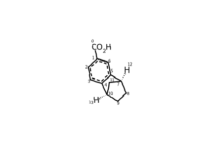 O=C(O)c1ccc2c(c1)[C@H]1CC[C@@H]2C1